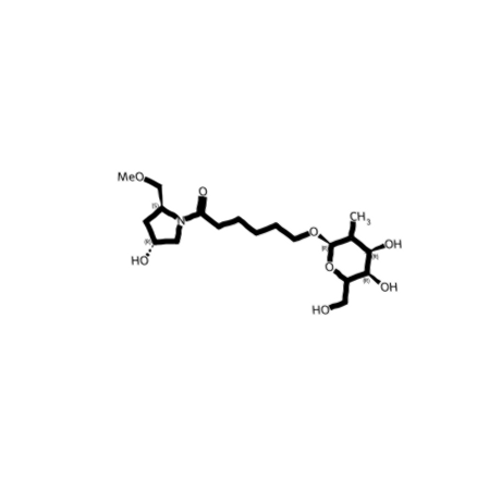 COC[C@@H]1C[C@@H](O)CN1C(=O)CCCCCO[C@@H]1OC(CO)[C@H](O)[C@H](O)C1C